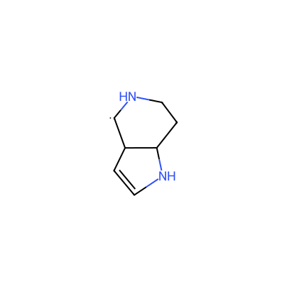 [CH]1NCCC2NC=CC12